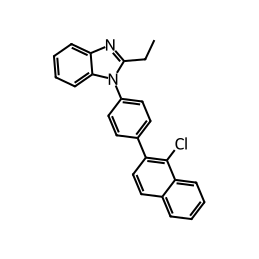 CCc1nc2ccccc2n1-c1ccc(-c2ccc3ccccc3c2Cl)cc1